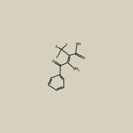 NC(C(=O)c1ccccc1)=C(C(=O)O)C(F)(F)F